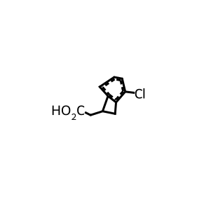 O=C(O)CC1Cc2c(Cl)cccc21